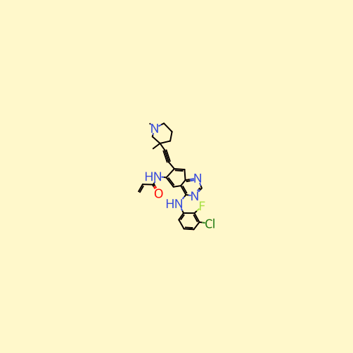 C=CC(=O)Nc1cc2c(Nc3cccc(Cl)c3F)ncnc2cc1C#CC1(C)CCCN(C)C1